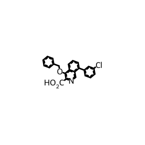 O=C(O)c1ncc2c(-c3cccc(Cl)c3)cccc2c1OCc1ccccc1